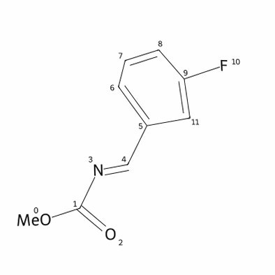 COC(=O)N=Cc1cccc(F)c1